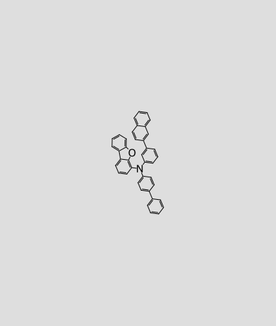 c1ccc(-c2ccc(N(c3cccc(-c4ccc5ccccc5c4)c3)c3cccc4c3oc3ccccc34)cc2)cc1